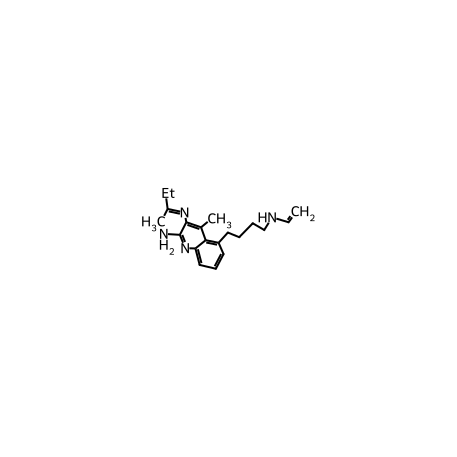 C=CNCCCCc1cccc2nc(N)c(/N=C(\C)CC)c(C)c12